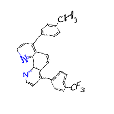 Cc1ccc(-c2ccnc3c2ccc2c(-c4ccc(C(F)(F)F)cc4)ccnc23)cc1